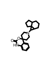 O=C1Nc2ccccc2C2(CCN(C3C4CCCC5CCCC543)CC2)O1